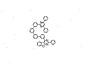 c1ccc(-c2cc(-c3ccccc3)nc(-c3cccc(-c4cccc(-c5cccc(-c6cccc(-c7nc(-c8ccccc8)nc8oc9ccccc9c78)c6)c5)c4)c3)n2)cc1